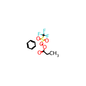 CCC(=O)OOS(=O)(=O)C(F)(F)F.c1ccccc1